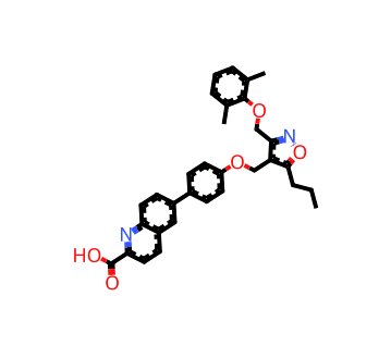 CCCc1onc(COc2c(C)cccc2C)c1COc1ccc(-c2ccc3nc(C(=O)O)ccc3c2)cc1